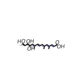 CC(=C\C=C\C(C)=C\[C@H](O)[C@@H](O)C[C@H](C)O)/C=C(C)/C=C/C(=O)O